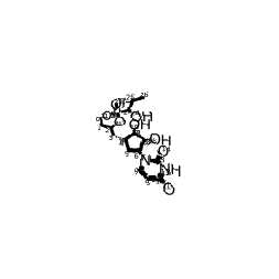 CCC(C[C@H]1CC(n2ccc(=O)[nH]c2=O)[C@H](O)[C@@H]1O)OP(=O)(O)C(O)CC